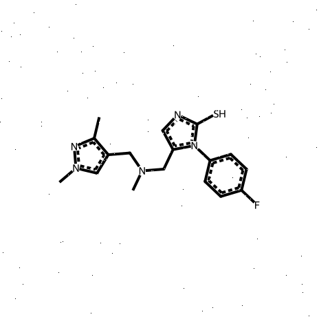 Cc1nn(C)cc1CN(C)Cc1cnc(S)n1-c1ccc(F)cc1